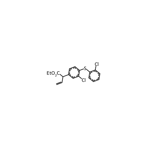 C=CC(C(=O)OCC)c1ccc(Sc2ccccc2Cl)c(Cl)c1